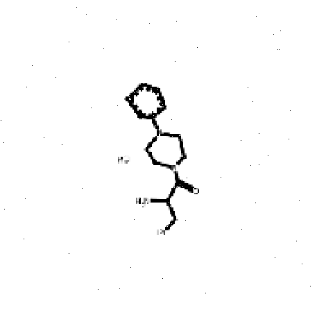 CC(C)CC(N)C(=O)N1CCN(c2ccccc2)CC1.Cl